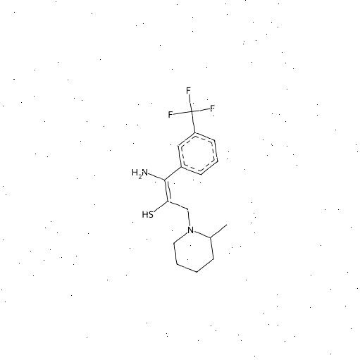 CC1CCCCN1C/C(S)=C(/N)c1cccc(C(F)(F)F)c1